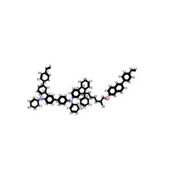 C=CC1=CCC(C2=CC=C3C(C2)c2cc(-c4ccc(N(C5=CC=CCC5)c5ccc6c(c5)C(CCCCC(C)COc5ccc7cc(-c8ccc(C=C)cc8)ccc7c5)(C5=CC=CCC5)C5C=CCCC65)cc4)ccc2N3C2C=CCCC2)C=C1